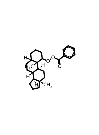 C[C@@]12CCC[C@H]1[C@@H]1CC[C@@H]3CCCC(OOC(=O)c4ccccc4)[C@]3(C)[C@H]1CC2